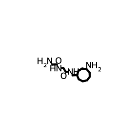 NCC(=O)NCC(=O)NCC1CCCCCC(N)CC1